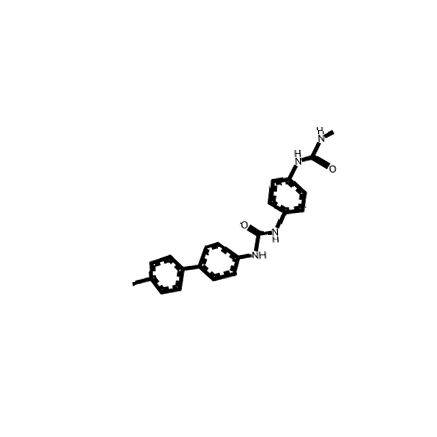 CNC(=O)Nc1ccc(NC(=O)Nc2ccc(-c3ccc(C)cc3)cc2)cc1